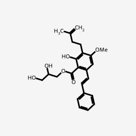 C=C(C)CCc1c(OC)cc(/C=C/c2ccccc2)c(C(=O)OCC(O)CO)c1O